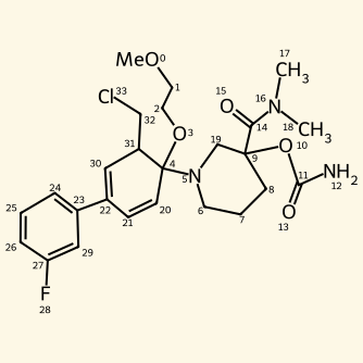 COCCOC1(N2CCCC(OC(N)=O)(C(=O)N(C)C)C2)C=CC(c2cccc(F)c2)=CC1CCl